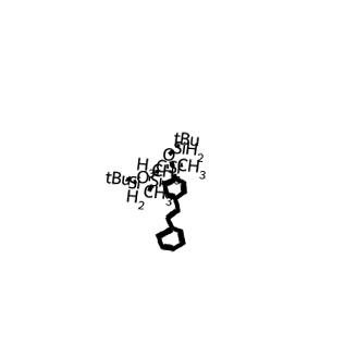 CC(C)(C)[SiH2]O[Si](C)(C)c1ccc(C=Cc2ccccc2)cc1[Si](C)(C)O[SiH2]C(C)(C)C